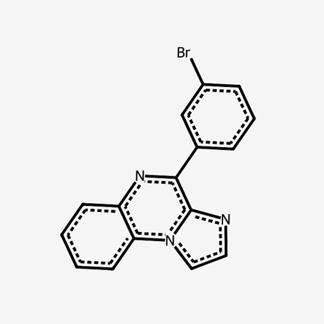 Brc1cccc(-c2nc3ccccc3n3ccnc23)c1